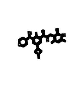 CCN(c1cc(C2CN(C)C2)cc(C(=O)NCc2c(C)cc(C)[nH]c2=O)c1C)C1CCOCC1